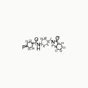 O=C(NC1CCC(CN2Cc3ccccc3C2=O)CC1)c1ccc(F)cc1